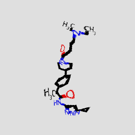 CCN(CC)CC=CC(=O)N1CC=C(c2ccc(C(C)C(=O)Nc3cc(C4CC4)[nH]n3)cc2)CC1